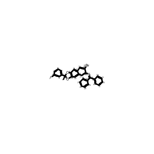 CC1(c2cccc(F)c2)Oc2cc3cc(Br)c(N=C(c4ccccc4)c4ccccc4)cc3cc2O1